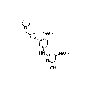 CNc1cc(C)nc(Nc2ccc(OC)c([C@H]3C[C@H](CN4CCCC4)C3)c2)n1